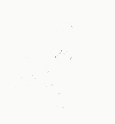 c1ccc(-c2cc(-c3ccccc3)nc(-n3c4ccccc4c4cccc(-c5ccc6c(c5)c5ccc7nc(-c8ccccc8)sc7c5n6-c5ccccc5)c43)n2)cc1